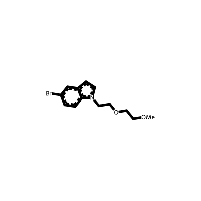 COCCOCCn1ccc2cc(Br)ccc21